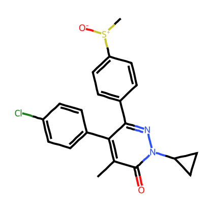 Cc1c(-c2ccc(Cl)cc2)c(-c2ccc([S+](C)[O-])cc2)nn(C2CC2)c1=O